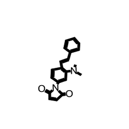 CN(C)c1cc(N2C(=O)C=CC2=O)ccc1C=Cc1ccccc1